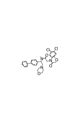 CN(C(=O)CN1C(=O)COc2cc(Cl)c(Cl)cc21)C(CN1CCOCC1)c1ccc(-c2cc[c]cc2)cc1